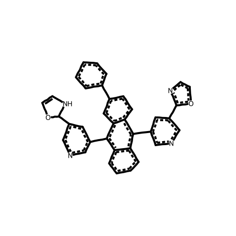 C1=COC(c2cncc(-c3c4ccccc4c(-c4cncc(-c5ncco5)c4)c4ccc(-c5ccccc5)cc34)c2)N1